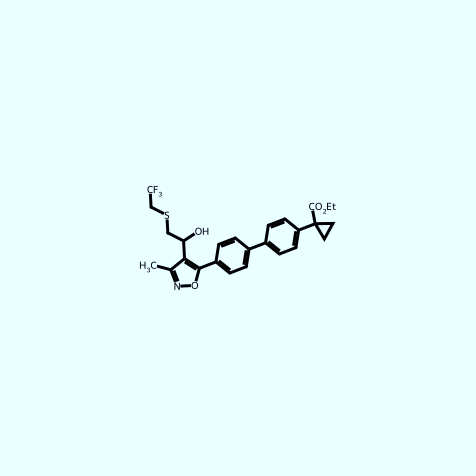 CCOC(=O)C1(c2ccc(-c3ccc(-c4onc(C)c4C(O)CSCC(F)(F)F)cc3)cc2)CC1